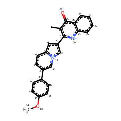 Cc1c(-c2cc3ccc(-c4ccc(OC(F)(F)F)cc4)cn3c2)[nH]c2ccccc2c1=O